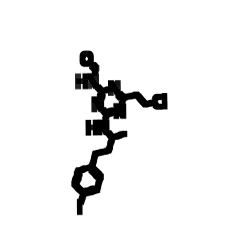 CC(CCc1ccc(I)cc1)Nc1nc(CCCl)nc(NC=O)n1